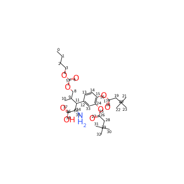 CCCCOC(=O)OCC(C)C(c1ccc(OC(=O)CC(C)(C)C)c(OC(=O)CC(C)(C)C)c1)[C@H](N)C(=O)O